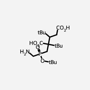 CC(C)(C)OP(=O)(CN)CC(C(=O)O)(C(CC(=O)O)C(C)(C)C)C(C)(C)C